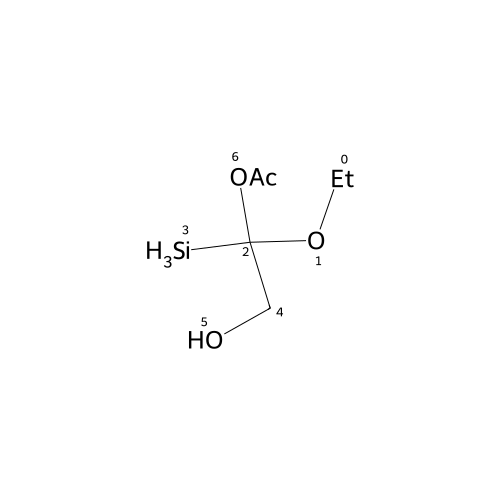 CCOC([SiH3])(CO)OC(C)=O